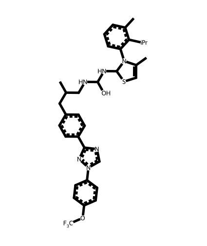 CC1=CSC(NC(O)NCC(C)Cc2ccc(-c3ncn(-c4ccc(OC(F)(F)F)cc4)n3)cc2)N1c1cccc(C)c1C(C)C